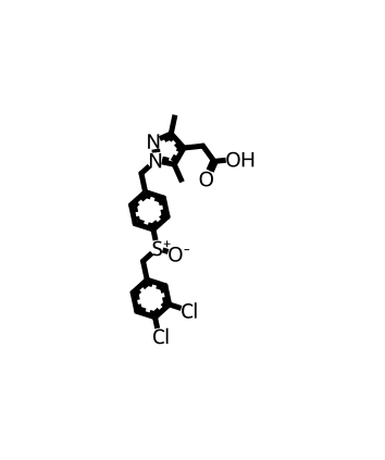 Cc1nn(Cc2ccc([S+]([O-])Cc3ccc(Cl)c(Cl)c3)cc2)c(C)c1CC(=O)O